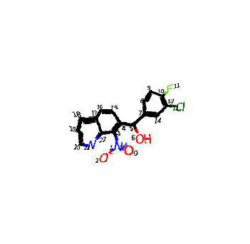 O=[N+]([O-])c1c(C(O)c2ccc(F)c(Cl)c2)ccc2cccnc12